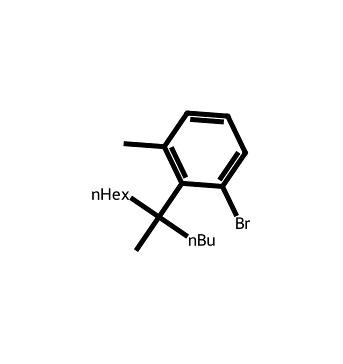 CCCCCCC(C)(CCCC)c1c(C)cccc1Br